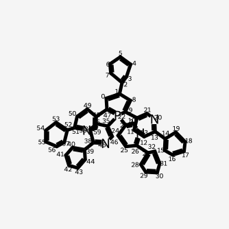 C1=C(c2ccccc2)C=C(c2ccc(-c3ccccc3)nc2)P(c2ccc(-c3ccccc3)nc2)(c2ccc(-c3ccccc3)nc2)=C1c1ccc(-c2ccccc2)nc1